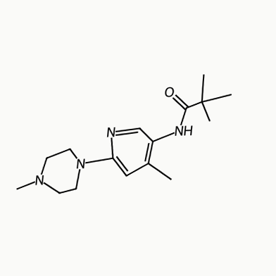 Cc1cc(N2CCN(C)CC2)ncc1NC(=O)C(C)(C)C